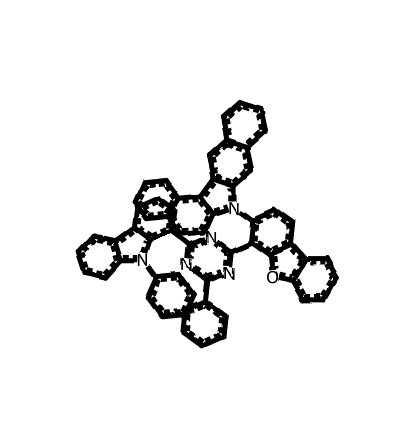 c1ccc(-c2nc(-c3c(-n4c5cc6ccccc6cc5c5c6ccccc6ccc54)ccc4c3oc3ccccc34)nc(-c3cccc4c5ccccc5n(-c5ccccc5)c34)n2)cc1